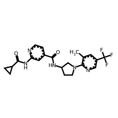 Cc1cc(C(F)(F)F)cnc1N1CCC(NC(=O)c2ccnc(NC(=O)C3CC3)c2)C1